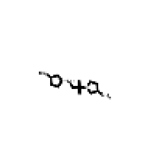 CC(C)(C)C1CC[C@@H](NCC(C)(C)N2CCC(N)C2)C1